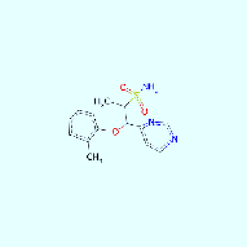 Cc1ccccc1OC(c1ccncn1)C(C)S(N)(=O)=O